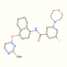 CSc1nccc(Oc2ccc(NC(=O)c3cc(F)cc(N4CCOCC4)c3)c3ccccc23)n1